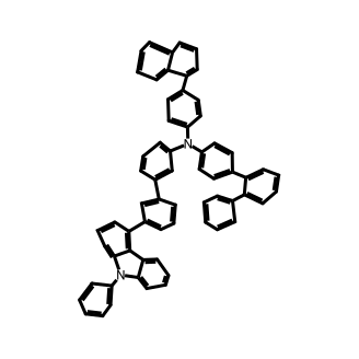 c1ccc(-c2ccccc2-c2ccc(N(c3ccc(-c4cccc5ccccc45)cc3)c3cccc(-c4cccc(-c5cccc6c5c5ccccc5n6-c5ccccc5)c4)c3)cc2)cc1